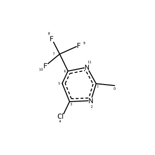 Cc1nc(Cl)cc(C(F)(F)F)n1